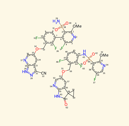 COc1ncc(F)c(-c2ccc(F)c(COc3cnc4[nH]nc(C#N)c4c3)c2F)c1S(N)(=O)=O.COc1ncc(F)cc1S(=O)(=O)Nc1ccc(F)c(COc2cnc3c(c2)C2(CC2)C(=O)N3)c1F